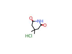 CC1(C)CC(=O)NC(=O)C1.Cl